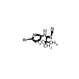 CC(C)(C)/C(=N/C#N)Nc1ccc(Br)nc1